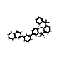 CC1(C)c2ccccc2N2c3ccc(C4=CC(c5ccc6c(c5)C=CCC6)CC=C4)cc3C(C)(C)c3cccc1c32